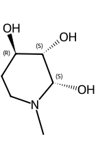 CN1CC[C@@H](O)[C@H](O)[C@@H]1O